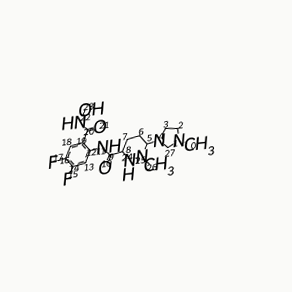 CN1CCN(C2CCC(C(=O)Nc3cc(F)c(F)cc3C(=O)NO)NN2C)C1